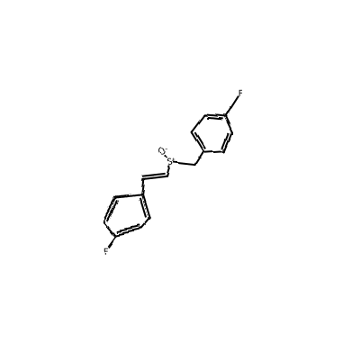 [O-][S+](C=Cc1ccc(F)cc1)Cc1ccc(F)cc1